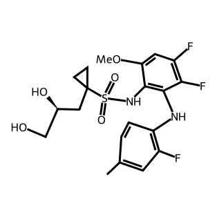 COc1cc(F)c(F)c(Nc2ccc(C)cc2F)c1NS(=O)(=O)C1(C[C@H](O)CO)CC1